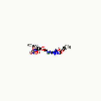 COc1cc(OC2CC(N(CC3(F)CCN(c4ncc(C(=O)NC5C(C)(C)C(Oc6cc(C)c(C#N)c(C)c6)C5(C)C)cn4)CC3)C(C)C)C2)cc2c1C(=O)N([C@@H]1CCC(=O)NC1=O)C2=O